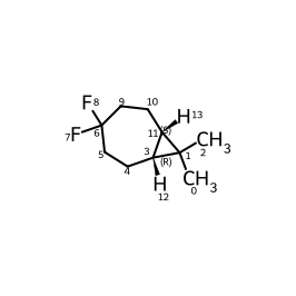 CC1(C)[C@@H]2CCC(F)(F)CC[C@@H]21